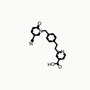 N#Cc1ccc(=O)n(Cc2ccc(CCc3cc(C(=O)O)ccn3)cc2)c1